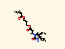 C=CC(=O)OCCCOC(=O)CCN1C=C(C)C(=C)NC1=O